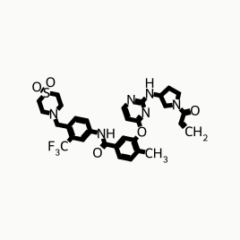 C=CC(=O)N1CCC(Nc2nccc(Oc3cc(C(=O)Nc4ccc(CN5CCS(=O)(=O)CC5)c(C(F)(F)F)c4)ccc3C)n2)C1